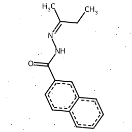 CCC(C)=NNC(=O)c1ccc2ccccc2c1